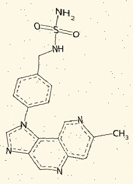 Cc1cc2ncc3ncn(-c4ccc(CNS(N)(=O)=O)cc4)c3c2cn1